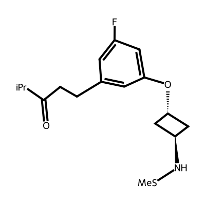 CSN[C@H]1C[C@H](Oc2cc(F)cc(CCC(=O)C(C)C)c2)C1